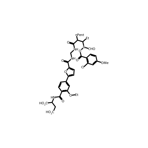 CCCCCC(C(=O)NCNC(=O)c1ccc(-c2ccc(C(=O)NC(CC(=O)O)C(=O)O)c(OCC)c2)o1)C(CC)N(C=O)OC(=O)c1ccc(OC)cc1Cl